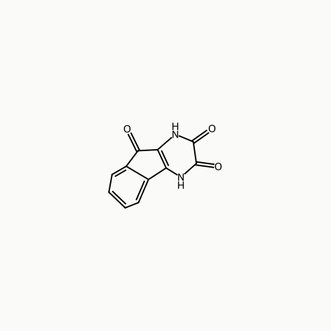 O=C1c2ccccc2-c2[nH]c(=O)c(=O)[nH]c21